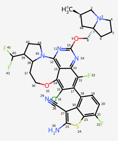 C[C@H]1CN2CCC[C@@]2(COc2nc3c4c(c(Cl)c(-c5ccc(F)c6sc(N)c(C#N)c56)c(F)c4n2)OCCC2C(C(F)F)CCN32)C1